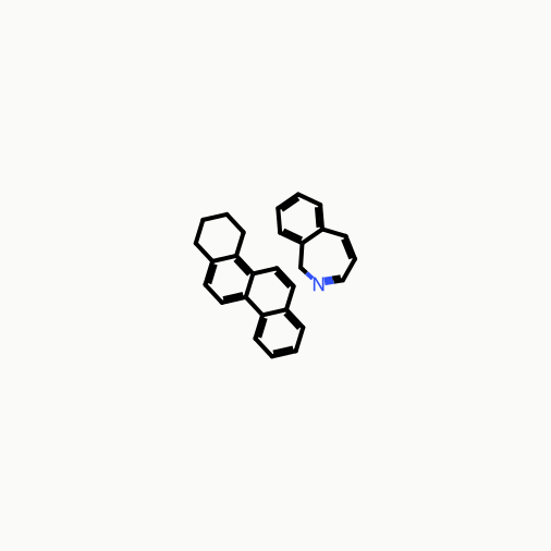 C1=Cc2ccccc2CN=C1.c1ccc2c(c1)ccc1c3c(ccc12)CCCC3